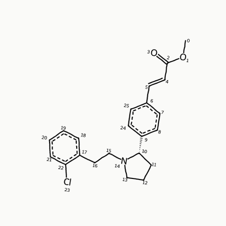 COC(=O)C=Cc1ccc([C@@H]2CCCN2CCc2ccccc2Cl)cc1